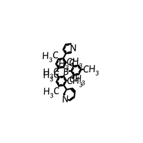 Cc1cc(C)c(B(c2c(C)cc(C)c(-c3cccnc3)c2C)c2c(C)cc(C)c(C3C#CC=CN=C3)c2C)c(C)c1